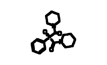 O=C(N1CCCCC1)P(=O)(C(=O)N1CCCCC1)c1ccccc1